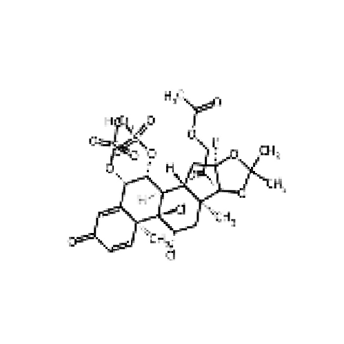 CC(=O)OCC(=O)[C@@]12OC(C)(C)O[C@@H]1C[C@H]1[C@@H]3[C@@H](OS(C)(=O)=O)[C@@H](OS(C)(=O)=O)C4=CC(=O)C=C[C@]4(C)[C@@]3(Cl)[C@@H](Cl)C[C@@]12C